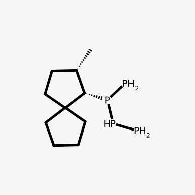 C[C@H]1CCC2(CCCC2)[C@H]1P(P)PP